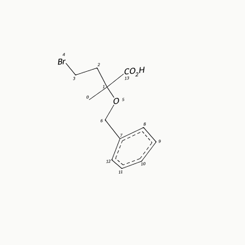 CC(CCBr)(OCc1ccccc1)C(=O)O